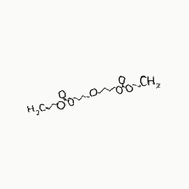 C=CCOC(=O)OCCCCOCCCCOC(=O)OCC=C